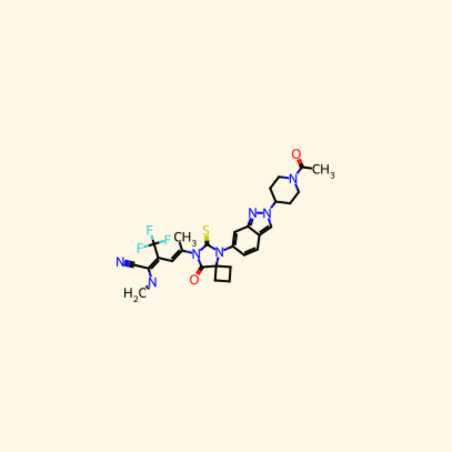 C=N/C(C#N)=C(\C=C(/C)N1C(=O)C2(CCC2)N(c2ccc3cn(C4CCN(C(C)=O)CC4)nc3c2)C1=S)C(F)(F)F